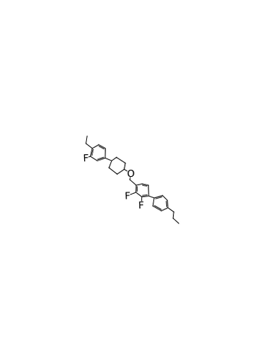 CCCc1ccc(-c2ccc(COC3CCC(c4ccc(CC)c(F)c4)CC3)c(F)c2F)cc1